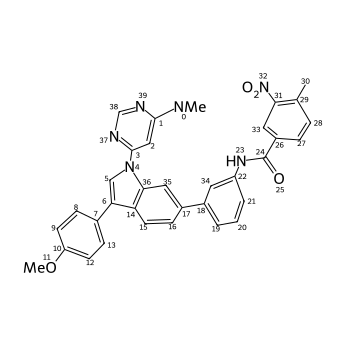 CNc1cc(-n2cc(-c3ccc(OC)cc3)c3ccc(-c4cccc(NC(=O)c5ccc(C)c([N+](=O)[O-])c5)c4)cc32)ncn1